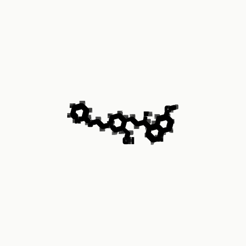 COc1ccc2nccc([C@H](F)CC[C@@H]3CCN(CCSc4ccccn4)C[C@@H]3CO)c2c1